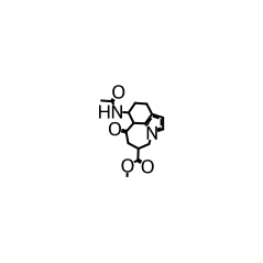 COC(=O)C1CC(=O)C2c3c(ccn3C1)CCC2NC(C)=O